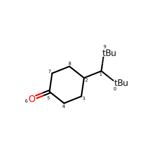 CC(C)(C)C(C1CCC(=O)CC1)C(C)(C)C